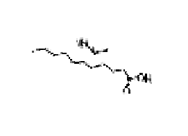 C=CC.CCCCCCCCCCC(=O)O.N